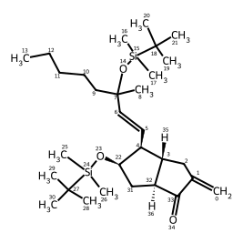 C=C1C[C@H]2[C@H](/C=C/C(C)(CCCCC)O[Si](C)(C)C(C)(C)C)[C@H](O[Si](C)(C)C(C)(C)C)C[C@@H]2C1=O